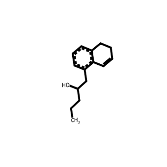 CCCC(O)Cc1cccc2c1C=CCC2